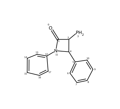 O=C1C(P)C(c2ccccc2)N1c1ccccc1